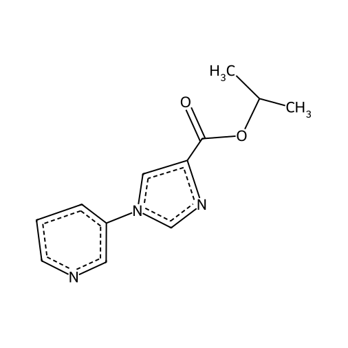 CC(C)OC(=O)c1cn(-c2cccnc2)cn1